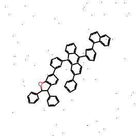 c1ccc(-c2ccc3c(-c4cccc(-c5cccc6ccccc56)c4)c4ccccc4c(-c4cccc(-c5ccc6c(c5)OC(c5ccccc5)C6c5ccccc5)c4)c3c2)cc1